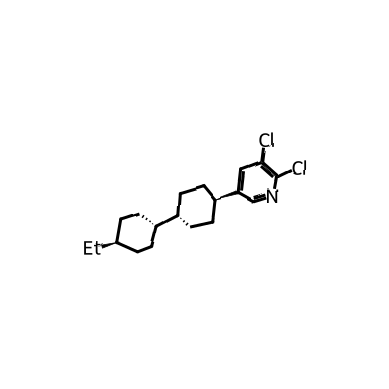 CC[C@H]1CC[C@H]([C@H]2CC[C@H](c3cnc(Cl)c(Cl)c3)CC2)CC1